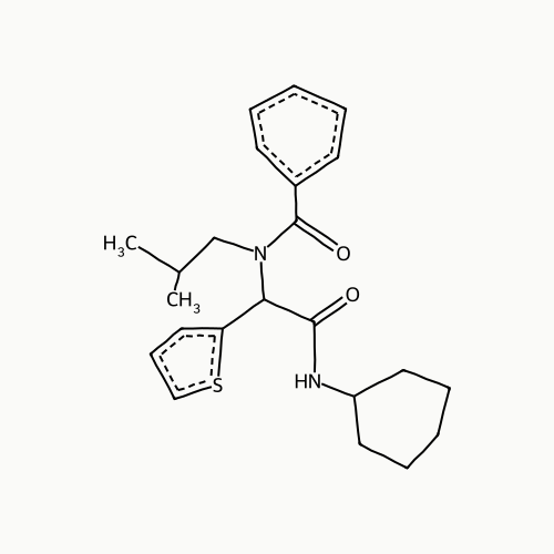 CC(C)CN(C(=O)c1ccccc1)C(C(=O)NC1CCCCC1)c1cccs1